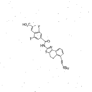 CC(=Cc1c(F)cc(C(=O)Nc2nc3c(s2)CCc2c(C#CC(C)(C)C)cccc2-3)cc1F)C(=O)O